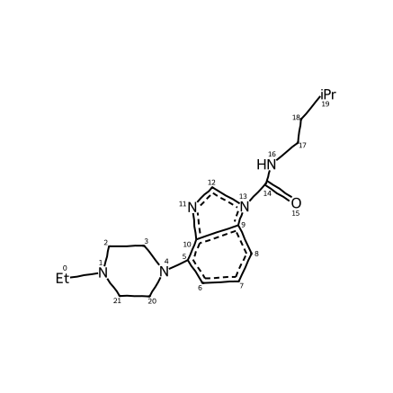 CCN1CCN(c2cccc3c2ncn3C(=O)NCCC(C)C)CC1